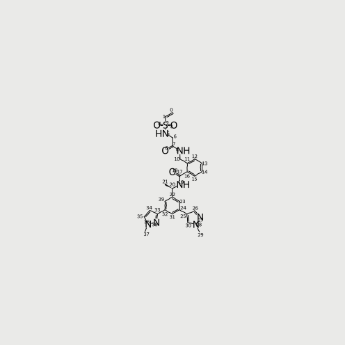 C=CS(=O)(=O)NCC(=O)NCc1ccccc1C(=O)N[C@H](C)c1cc(-c2cnn(C)c2)cc(-c2ccn(C)n2)c1